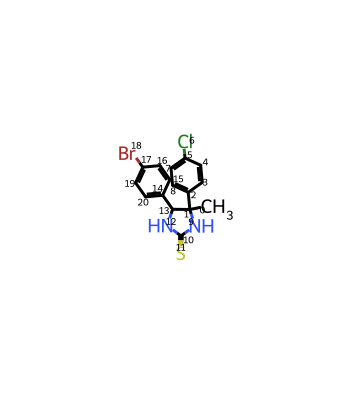 CC1(c2ccc(Cl)cc2)NC(=S)NC1c1ccc(Br)cc1